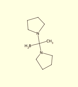 BC(C)(N1CCCC1)N1CCCC1